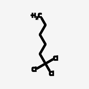 [CH2]CCCCC(Cl)(Cl)Cl